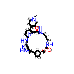 CN1CC=C(c2ccc3nc2C(=O)NCCCNC(=O)O[C@@H]2CC[C@@H](C2)c2cc(n[nH]2)N3)CC1